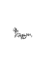 [2H]C([2H])([2H])O[C@H]1CCN(c2nccc(N)n2)C[C@H]1F